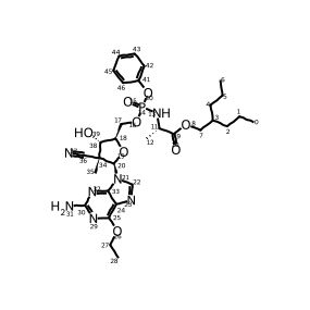 CCCC(CCC)COC(=O)[C@H](C)NP(=O)(OC[C@H]1O[C@@H](n2cnc3c(OCC)nc(N)nc32)[C@](C)(C#N)[C@@H]1O)Oc1ccccc1